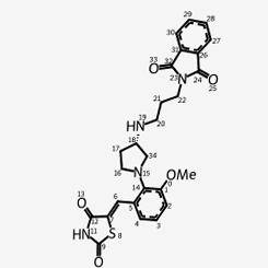 COc1cccc(/C=C2\SC(=O)NC2=O)c1N1CC[C@H](NCCCN2C(=O)c3ccccc3C2=O)C1